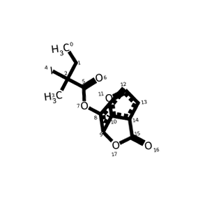 CCC(C)(I)C(=O)Oc1c2c3oc1cc3C(=O)O2